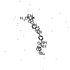 CN(C)C(=O)C1(COc2ccc3c(n2)sc2nc(-c4ccc(NC(=O)Nc5cc(C(C)(C)C)on5)cc4)cn23)CC1